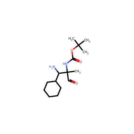 CC(C)(C)OC(=O)NC(C)(C=O)C(N)C1CCCCC1